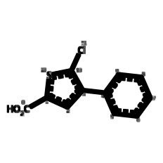 O=C(O)c1cc(-c2ccccc2)c(Cl)s1